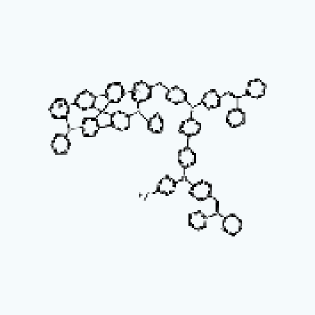 Cc1ccc(N(c2ccc(C=C(c3ccccc3)c3ccccc3)cc2)c2ccc(-c3ccc(N(c4ccc(C=C(c5ccccc5)c5ccccc5)cc4)c4ccc(Cc5cccc(N(c6ccccc6)c6ccc7c(c6)C6(c8cc(N(c9ccccc9)c9ccccc9)ccc8-7)c7cc(C(C)(C)C)ccc7-c7ccc(C(C)(C)C)cc76)c5)cc4)cc3)cc2)cc1